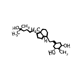 C=C1[C@H](O)CC(=CCC2CCC[C@]3(C)[C@@H](CCCCC(C)(C)O)CC[C@@H]23)C[C@H]1O